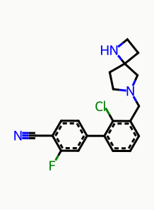 N#Cc1ccc(-c2cccc(CN3CCC4(CCN4)C3)c2Cl)cc1F